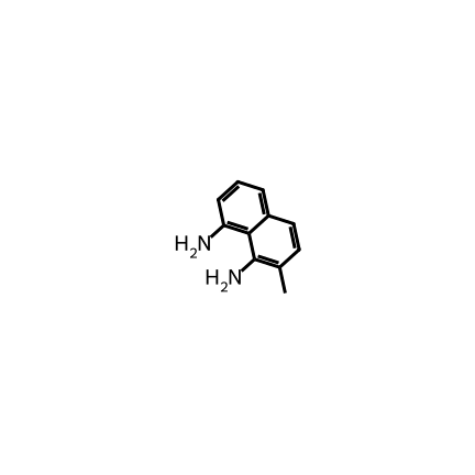 Cc1ccc2cccc(N)c2c1N